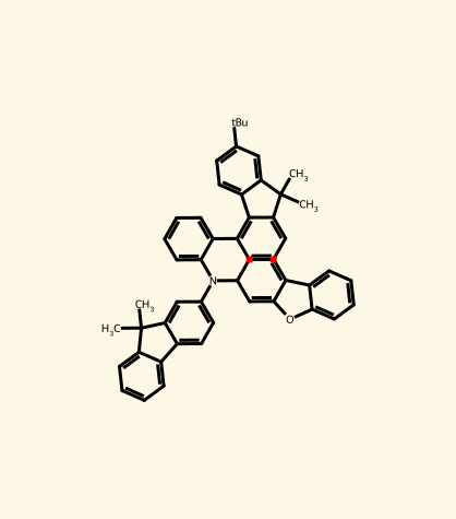 CC(C)(C)c1ccc2c(c1)C(C)(C)c1cccc(-c3ccccc3N(c3ccc4c(c3)C(C)(C)c3ccccc3-4)C3C=c4oc5ccccc5c4=CC3)c1-2